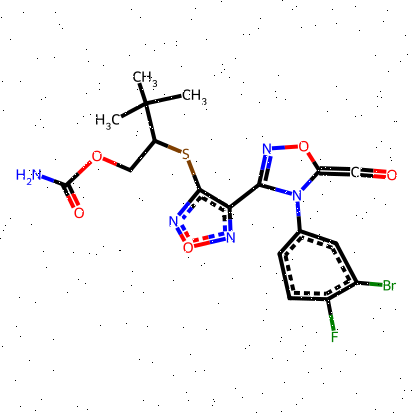 CC(C)(C)C(COC(N)=O)Sc1nonc1C1=NOC(=C=O)N1c1ccc(F)c(Br)c1